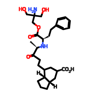 C[C@H](N[C@@H](CCc1ccccc1)C(=O)OCC(N)(CO)CO)C(=O)CCC1CC(C(=O)O)C[C@@H]2CCC[C@H]12